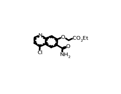 CCOC(=O)COc1cc2nccc(Cl)c2cc1C(N)=O